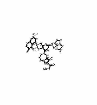 CCc1c(F)ccc2cc(O)cc(N3CCc4c(nc(OC[C@@]56CCCN5C[C@H](F)C6)nc4N4CCCn5nc(C(=O)NC)c(Cl)c5C4)C3)c12